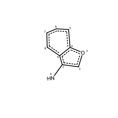 [NH]c1coc2ccccc12